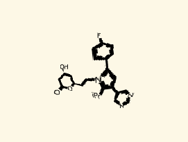 CC(C)c1c(-c2cncnc2)cc(-c2ccc(F)cc2)n1CC[C@@H]1C[C@@H](O)CC(=O)O1